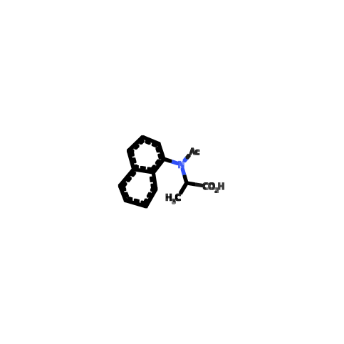 CC(=O)N(c1cccc2ccccc12)C(C)C(=O)O